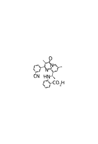 Cc1cc([C@@H](C)Nc2ccccc2C(=O)O)c2nc(-c3cccc(C#N)c3)c(C)c(=O)n2c1